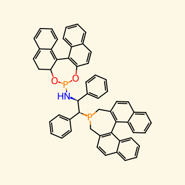 C1=c2ccccc2=C2c3c(ccc4ccccc34)OP(N[C@@H](c3ccccc3)[C@H](c3ccccc3)P3Cc4ccc5ccccc5c4-c4c(ccc5ccccc45)C3)OC2C1